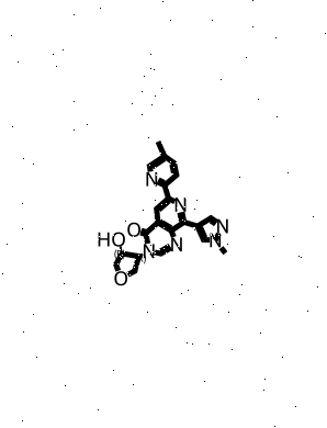 Cc1ccc(-c2cc3c(=O)n([C@@H]4COC[C@@H]4O)cnc3c(-c3cnn(C)c3)n2)nc1